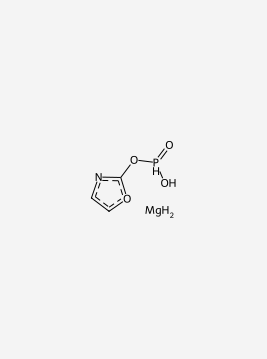 O=[PH](O)Oc1ncco1.[MgH2]